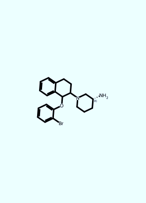 N[C@@H]1CCCN(C2CCc3ccccc3C2Oc2ccccc2Br)C1